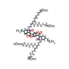 C/C=C/c1ccc2c(c1)N(CCCC(CCCCCCCCCCCCCCCCCC)CCCCCCCCCCCCCCCCCC)C(=O)/C2=C1/C(=O)Oc2cc3c(cc21)OC(=O)/C3=C1/C(=O)N(CCCC(CCCCCCCCCCCCCCCCCC)CCCCCCCCCCCCCCCCCC)c2cc(C)ccc21